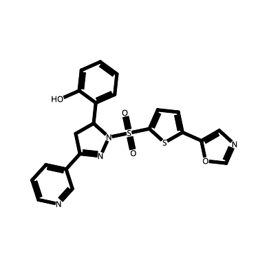 O=S(=O)(c1ccc(-c2cnco2)s1)N1N=C(c2cccnc2)CC1c1ccccc1O